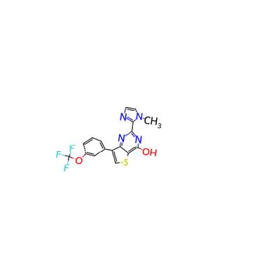 Cn1ccnc1-c1nc(O)c2scc(-c3cccc(OC(F)(F)F)c3)c2n1